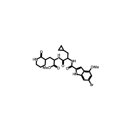 COC(=O)C(CC1CCCNC1=O)NC(=O)C(CC1CC1)NC(=O)c1cc2c(OC)cc(Br)cc2[nH]1